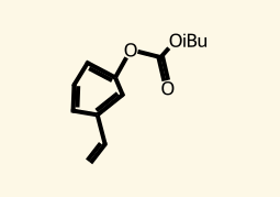 C=Cc1cccc(OC(=O)OCC(C)C)c1